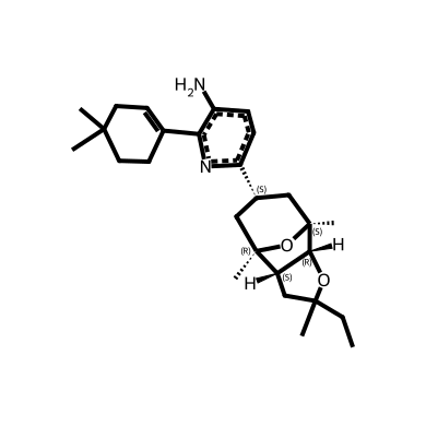 CCC1(C)C[C@H]2[C@@H](O1)[C@]1(C)C[C@@H](c3ccc(N)c(C4=CCC(C)(C)CC4)n3)C[C@@]2(C)O1